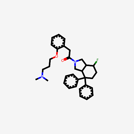 CN(C)CCCOc1ccccc1CC(=O)N1CC2C(F)CCC(c3ccccc3)(c3ccccc3)C2C1